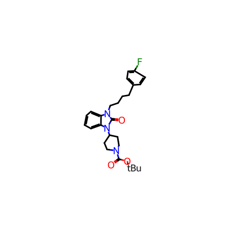 CC(C)(C)OC(=O)N1CCC(n2c(=O)n(CCCCc3ccc(F)cc3)c3ccccc32)CC1